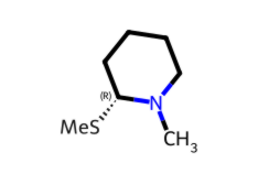 CS[C@@H]1CCCCN1C